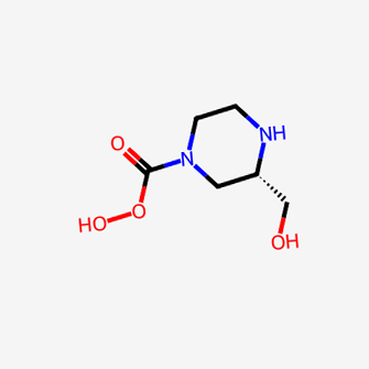 O=C(OO)N1CCN[C@H](CO)C1